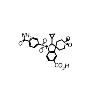 NC(=O)c1ccc(S(=O)(=O)N2c3ccc(C(=O)O)cc3C3(CCS(=O)(=O)CC3)C2C2CC2)cc1